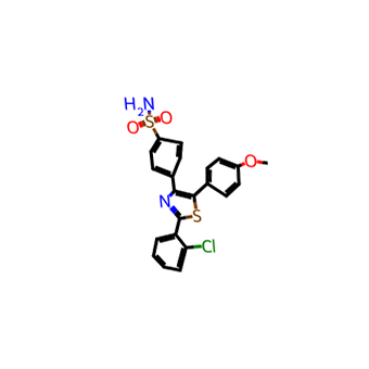 COc1ccc(-c2sc(-c3ccccc3Cl)nc2-c2ccc(S(N)(=O)=O)cc2)cc1